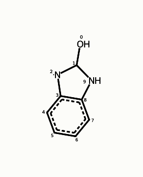 OC1[N]c2ccccc2N1